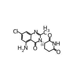 Cc1nc2cc(Cl)cc(N)c2c(=O)n1[C@H]1CCC(=O)NC1=O